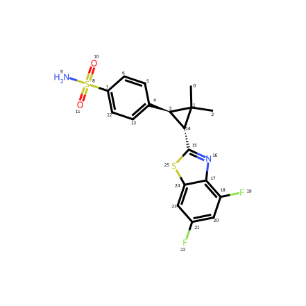 CC1(C)[C@H](c2ccc(S(N)(=O)=O)cc2)[C@H]1c1nc2c(F)cc(F)cc2s1